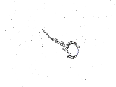 CCCOCCOCCOCCN1CCN(c2ncc3c(n2)CCN(C(=O)O[C@@H]2CCC(C[C@@H](N)[C@@H]4CC(=O)[C@H](C)/C=C(\C)[C@@H](O)[C@@H](O)C(=O)[C@H](C)C[C@H](C)/C=C/C=C/C=C(\C)[C@@H](OC)C[C@@H]5CC[C@@H](C)[C@@](O)(O5)C(=O)C(=O)N5CCCC[C@H]5C(=O)O4)C[C@H]2OC)C3)CC1